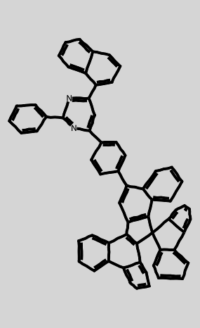 c1ccc(-c2nc(-c3ccc(-c4cc5c(c6ccccc46)C4(c6ccccc6-c6ccccc64)c4c-5c5ccccc5c5ccccc45)cc3)cc(-c3cccc4ccccc34)n2)cc1